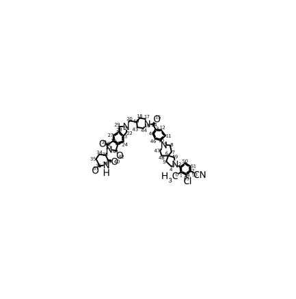 Cc1c(N2CCC3(CCN(c4ccc(C(=O)N5CCC(CN6Cc7cc8c(cc7C6)C(=O)N(C6CCC(=O)NC6=O)C8=O)CC5)cc4)CC3)C2)ccc(C#N)c1Cl